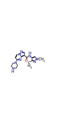 Cc1nn(C)cc1NC(=O)c1cnn2ccc(N3CCNCC3)nc12